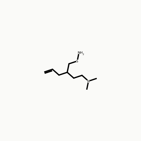 C=CCC(CCN(C)C)CSN